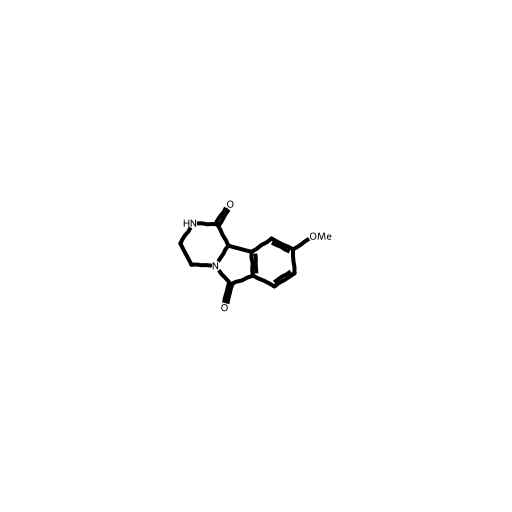 COc1ccc2c(c1)C1C(=O)NCCN1C2=O